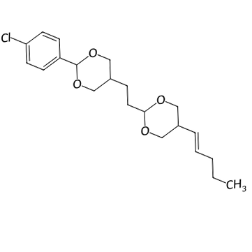 CCCC=CC1COC(CCC2COC(c3ccc(Cl)cc3)OC2)OC1